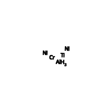 [AlH3].[Cr].[Ni].[Ni].[Ti]